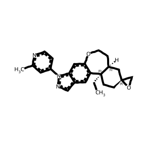 CC[C@@]12CC[C@]3(CO3)C[C@@H]1CCOc1cc3c(cnn3-c3ccnc(C)c3)cc12